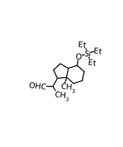 CC[Si](CC)(CC)OC1CCCC2(C)C(C(C)C=O)CCC12